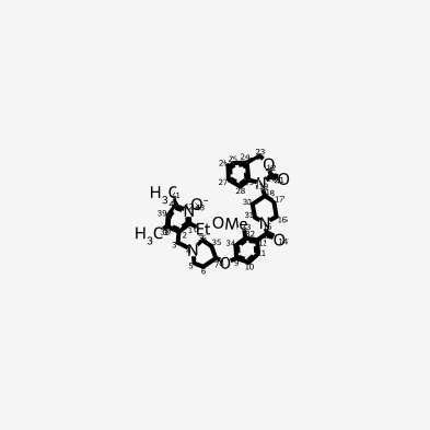 CCc1c(CN2CCC(Oc3ccc(C(=O)N4CCC(N5C(=O)OCc6ccccc65)CC4)c(OC)c3)CC2)c(C)cc(C)[n+]1[O-]